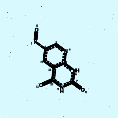 O=Nc1cnc2[nH]c(=O)[nH]c(=O)c2c1